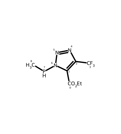 CCOC(=O)c1c(C(F)(F)F)nnn1PC